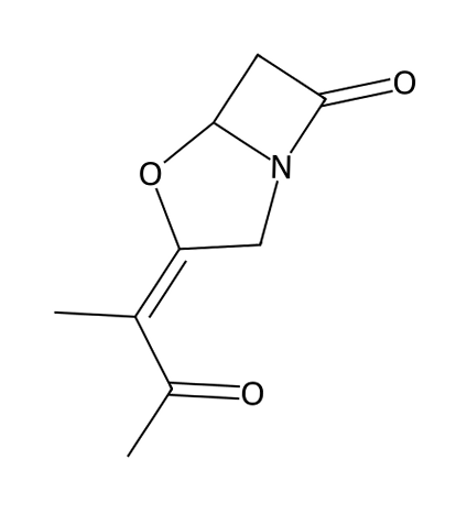 CC(=O)/C(C)=C1\CN2C(=O)CC2O1